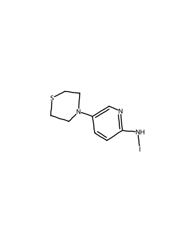 INc1ccc(N2CCSCC2)cn1